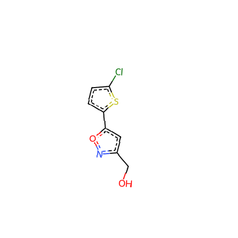 OCc1cc(-c2ccc(Cl)s2)on1